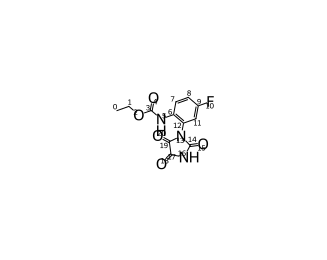 CCOC(=O)Nc1ccc(F)cc1N1C(=O)NC(=O)C1=O